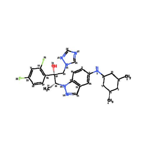 CC1CC(C)CC(Nc2ccc3c(cnn3[C@H](C)[C@](O)(Cn3cncn3)c3ccc(F)cc3F)c2)C1